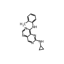 Cc1ccccc1Nc1ncnc2cnc(NC3CC3)nc12